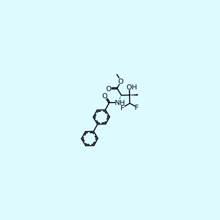 COC(=O)[C@@H](NC(=O)c1ccc(-c2ccccc2)cc1)[C@](C)(O)C(F)F